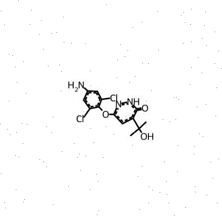 CC(C)(O)c1cc(Oc2c(Cl)cc(N)cc2Cl)n[nH]c1=O